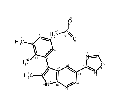 Cc1cccc(-c2c(C)[nH]c3ccc(-c4ncon4)cc23)c1C.N[SH](=O)=O